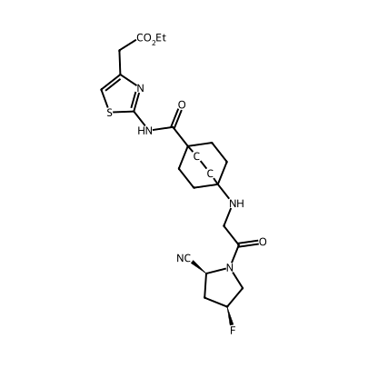 CCOC(=O)Cc1csc(NC(=O)C23CCC(NCC(=O)N4C[C@@H](F)C[C@H]4C#N)(CC2)CC3)n1